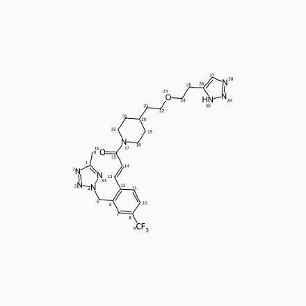 Cc1nnn(Cc2cc(C(F)(F)F)ccc2C=CC(=O)N2CCC(CCOCCc3cnn[nH]3)CC2)n1